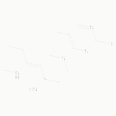 CN/C(=C1/CN(c2nc(Cl)ncc2F)CCC1=N)C(C)C